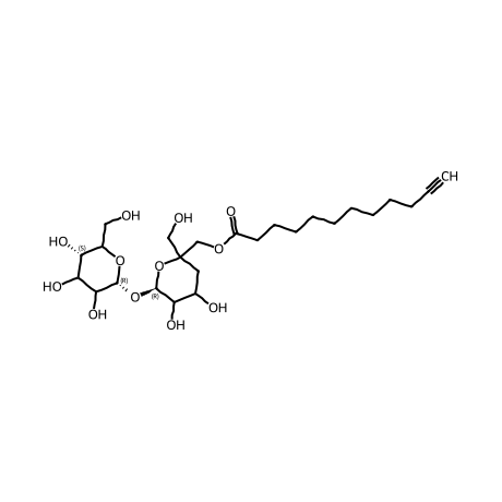 C#CCCCCCCCCCC(=O)OCC1(CO)CC(O)C(O)[C@@H](O[C@H]2OC(CO)[C@@H](O)C(O)C2O)O1